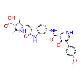 COc1ccc(-c2c[nH]cc(C(=O)Nc3ccc4c(c3)NC(=O)/C4=C\c3[nH]c(C)c(C(=O)O)c3C)c2=O)cc1